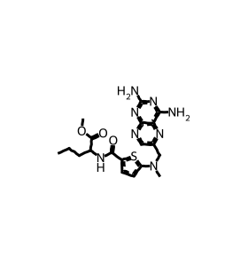 CCCC(NC(=O)c1ccc(N(C)Cc2cnc3nc(N)nc(N)c3n2)s1)C(=O)OC